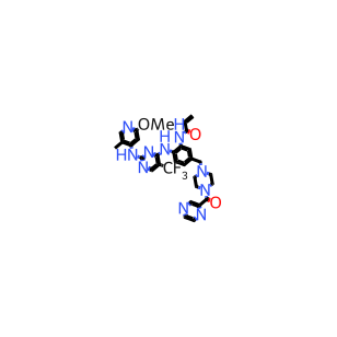 C=CC(=O)Nc1cc(CN2CCN(C(=O)c3cnccn3)CC2)ccc1Nc1nc(Nc2cc(OC)ncc2C)ncc1C(F)(F)F